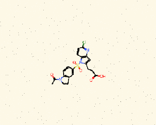 CC(=O)N1CCc2cc(S(=O)(=O)n3c(CCC(=O)O)cc4nc(Cl)ccc43)ccc21